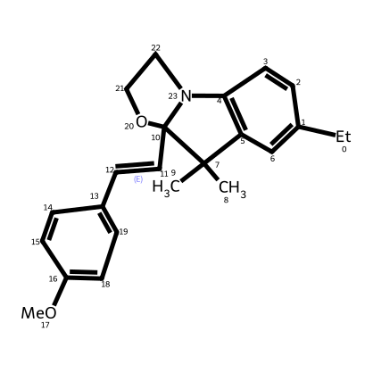 CCc1ccc2c(c1)C(C)(C)C1(/C=C/c3ccc(OC)cc3)OCCN21